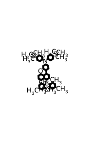 Cc1cc(C)c(B(c2c(C)cc(C)cc2C)c2ccc3c4c(cccc24)Oc2cc(N(c4ccc([Si](C)(C)C)cc4)c4ccc([Si](C)(C)C)cc4)ccc2-3)c(C)c1